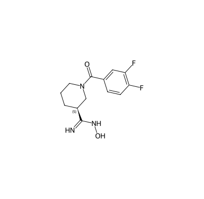 N=C(NO)[C@H]1CCCN(C(=O)c2ccc(F)c(F)c2)C1